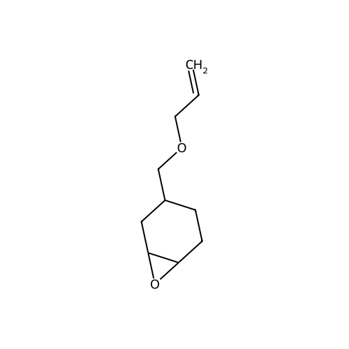 C=CCOCC1CCC2OC2C1